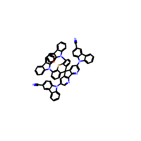 N#Cc1ccc2c(c1)c1ccccc1n2-c1cnc2c(c1)C1(c3cc(-n4c5ccccc5c5cc(C#N)ccc54)cnc3-2)c2cccc(-n3c4ccccc4c4ccccc43)c2Sc2c(-n3c4ccccc4c4ccccc43)cccc21